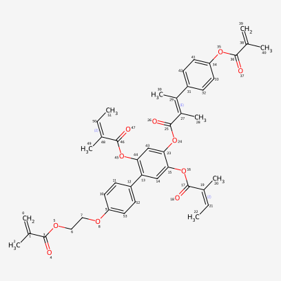 C=C(C)C(=O)OCCOc1ccc(-c2cc(OC(=O)/C(C)=C\C)c(OC(=O)/C(C)=C(\C)c3ccc(OC(=O)C(=C)C)cc3)cc2OC(=O)/C(C)=C\C)cc1